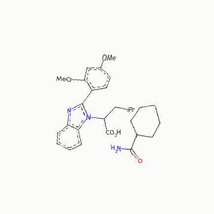 COc1ccc(-c2nc3ccccc3n2C(CC(C)C)C(=O)O)c(OC)c1.NC(=O)C1CCCCC1